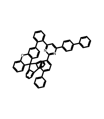 c1ccc(-c2ccc(-c3cc(-c4ccccc4-c4ccc5c(c4)Oc4ccccc4C54c5ccccc5-c5ccccc54)nc(-c4ccc(-c5ccccc5)cc4)n3)cc2)cc1